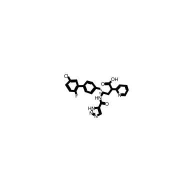 O=C(N[C@H](Cc1ccc(-c2cc(Cl)ccc2F)cc1)CC(C(=O)O)c1ccccn1)c1cnn[nH]1